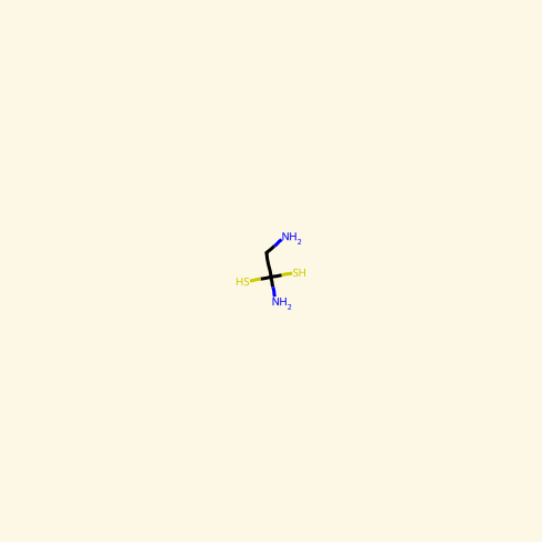 NCC(N)(S)S